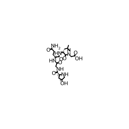 CC(C)C[C@@H](NC(=O)[C@H](CCC(N)=O)NC(=O)CNC(=O)[C@@H]1C[C@@H](O)CN1)C(=O)NCC(=O)O